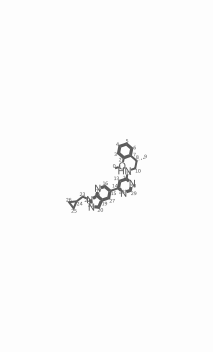 COc1ccccc1[C@H](C)CNc1cc(-c2cnc3c(cnn3CC3CC3)c2)ncn1